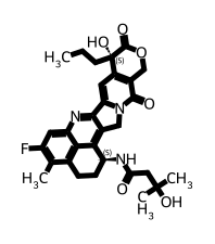 CCC[C@@]1(O)C(=O)OCc2c1cc1n(c2=O)Cc2c-1nc1cc(F)c(C)c3c1c2[C@@H](NC(=O)CC(C)(C)O)CC3